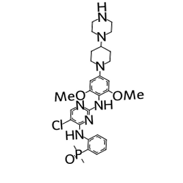 COc1cc(N2CCC(N3CCNCC3)CC2)cc(OC)c1Nc1ncc(Cl)c(Nc2ccccc2P(C)(C)=O)n1